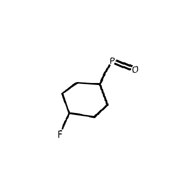 O=PC1CCC(F)CC1